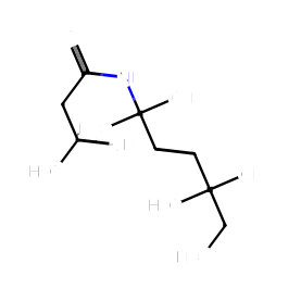 C=C(CC(C)C)NC(C)(C)CCC(C)(C)CC